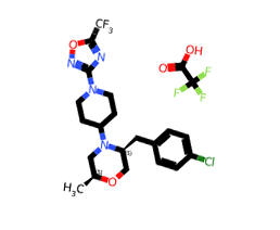 C[C@H]1CN(C2CCN(c3noc(C(F)(F)F)n3)CC2)[C@@H](Cc2ccc(Cl)cc2)CO1.O=C(O)C(F)(F)F